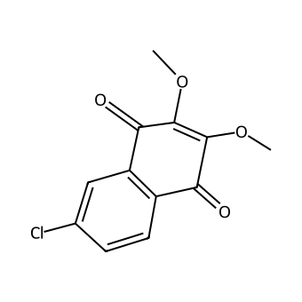 COC1=C(OC)C(=O)c2cc(Cl)ccc2C1=O